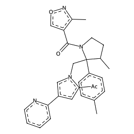 CC(=O)c1cc(-c2ccccn2)cn1CC1(c2ccc(C)cc2)C(C)CCN1C(=O)c1conc1C